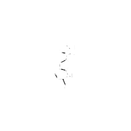 NS(=O)(=O)c1cc2ccc(=O)[nH]c2s1